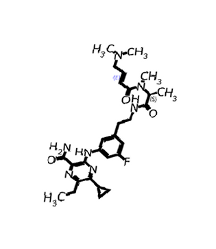 CCc1nc(C(N)=O)c(Nc2cc(F)cc(CCNC(=O)[C@H](C)N(C)C(=O)/C=C/CN(C)C)c2)nc1C1CC1